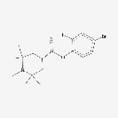 CN1C(C)(C)CC(C(=O)Oc2ccc(Br)cc2I)CC1(C)C